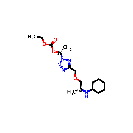 CCOC(=O)O[C@H](C)n1nnc(COC[C@@H](C)NC2CCCCC2)n1